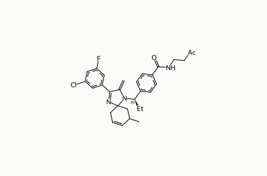 C=C1C(c2cc(F)cc(Cl)c2)=NC2(CC=CC(C)C2)N1[C@H](CC)c1ccc(C(=O)NCCC(C)=O)cc1